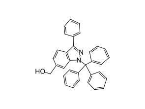 OCc1ccc2c(-c3ccccc3)nn(C(c3ccccc3)(c3ccccc3)c3ccccc3)c2c1